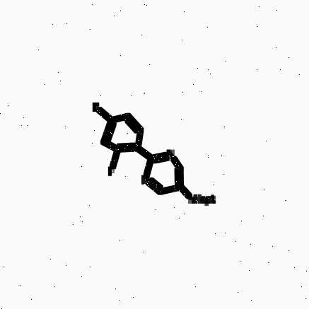 CCCCCCCc1cnc(-c2ccc(F)cc2F)nc1